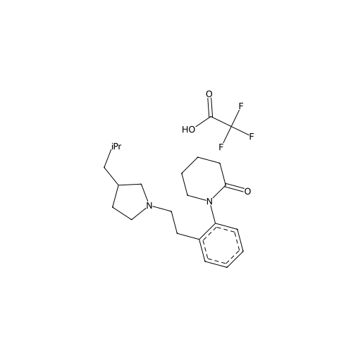 CC(C)CC1CCN(CCc2ccccc2N2CCCCC2=O)C1.O=C(O)C(F)(F)F